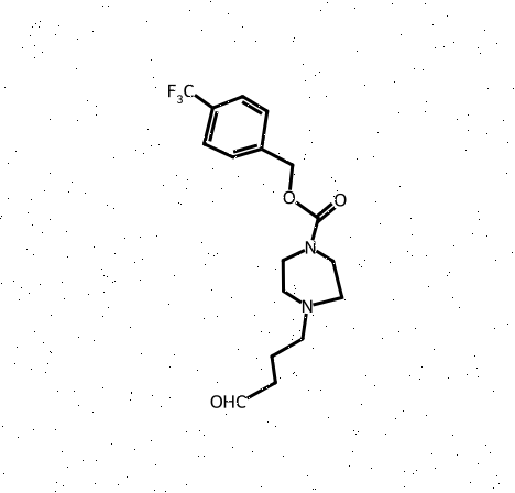 O=CCCCN1CCN(C(=O)OCc2ccc(C(F)(F)F)cc2)CC1